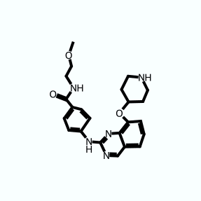 COCCNC(=O)c1ccc(Nc2ncc3cccc(OC4CCNCC4)c3n2)cc1